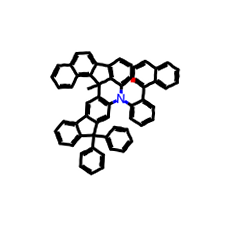 CC12c3cc4c(cc3N(c3ccccc3-c3cccc5ccccc35)c3cccc(c31)-c1ccc3ccccc3c12)C(c1ccccc1)(c1ccccc1)c1ccccc1-4